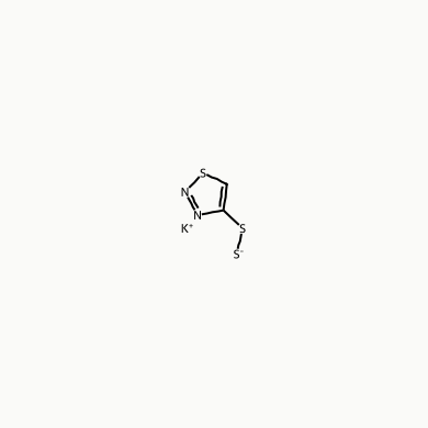 [K+].[S-]Sc1csnn1